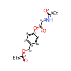 CCC(=O)NCC(=O)Oc1ccc(COC(=O)CC)cc1